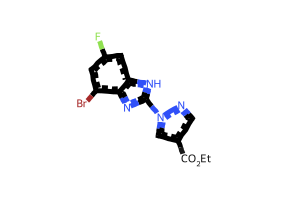 CCOC(=O)c1cnn(-c2nc3c(Br)cc(F)cc3[nH]2)c1